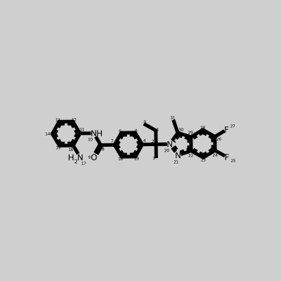 CCC(C)(c1ccc(C(=O)Nc2ccccc2N)cc1)n1nc2cc(F)c(F)cc2c1C